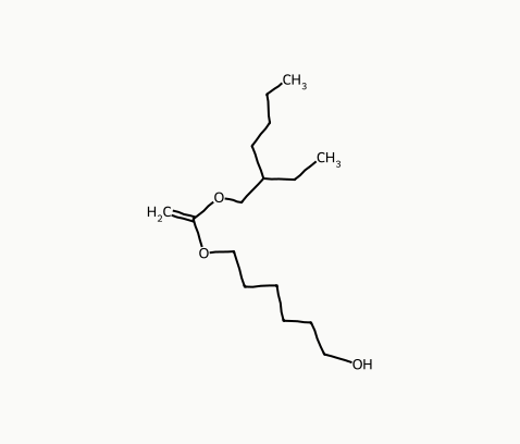 C=C(OCCCCCCO)OCC(CC)CCCC